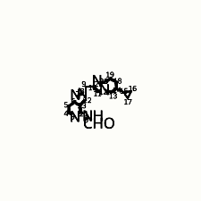 O=CNc1nccc2nn(Cc3cn4cc(C5CC5)ccc4n3)cc12